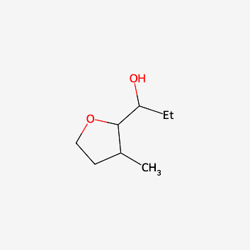 CCC(O)C1OCCC1C